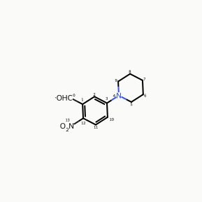 O=[C]c1cc(N2CCCCC2)ccc1[N+](=O)[O-]